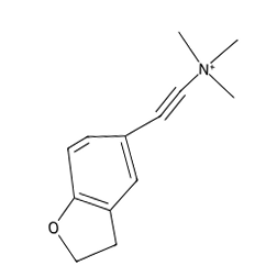 C[N+](C)(C)C#Cc1ccc2c(c1)CCO2